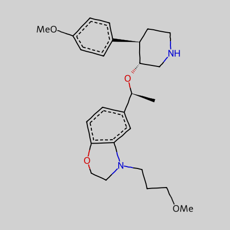 COCCCN1CCOc2ccc([C@H](C)O[C@H]3CNCC[C@@H]3c3ccc(OC)cc3)cc21